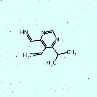 C=Cc1c(C=N)ncnc1C(C)C